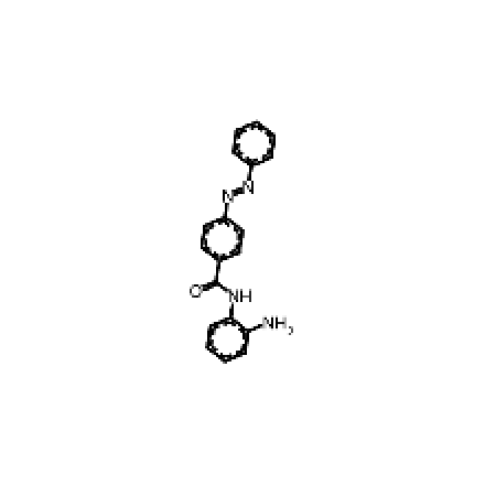 Nc1ccccc1NC(=O)c1ccc(N=Nc2ccccc2)cc1